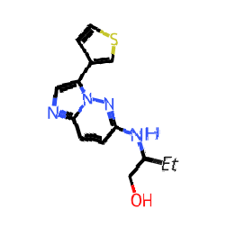 CCC(CO)Nc1ccc2ncc(-c3ccsc3)n2n1